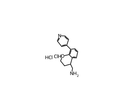 Cl.Cl.NCC1CCOc2c(-c3ccncc3)cccc21